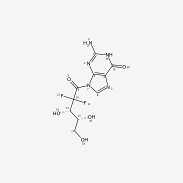 Nc1nc2c(ncn2C(=O)C(F)(F)[C@@H](O)[C@H](O)CO)c(=O)[nH]1